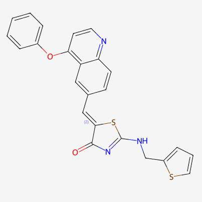 O=C1N=C(NCc2cccs2)S/C1=C\c1ccc2nccc(Oc3ccccc3)c2c1